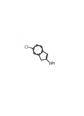 CCCC1=Cc2ccc(Cl)cc2C1